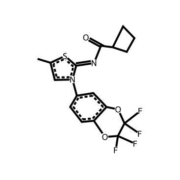 Cc1cn(-c2ccc3c(c2)OC(F)(F)C(F)(F)O3)c(=NC(=O)C2CCC2)s1